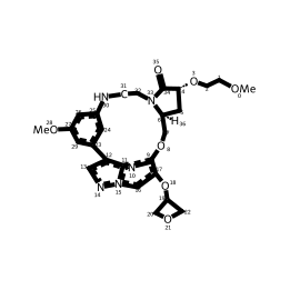 COCCO[C@@H]1C[C@H]2COc3nc4c(cnn4cc3OC3COC3)-c3cc(cc(OC)c3)NCCN2C1=O